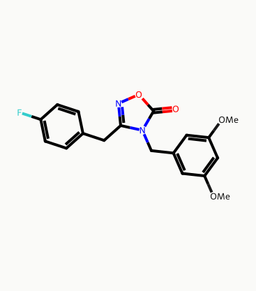 COc1cc(Cn2c(Cc3ccc(F)cc3)noc2=O)cc(OC)c1